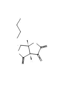 C=C1C(=O)O[C@@H]2[C@H]1C(=O)O[C@@H]2CCCC